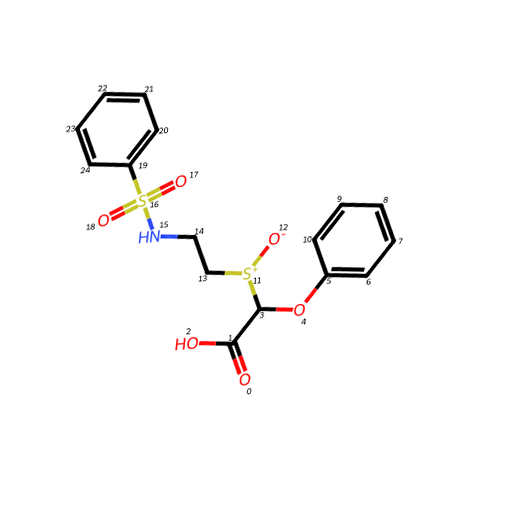 O=C(O)C(Oc1ccccc1)[S+]([O-])CCNS(=O)(=O)c1ccccc1